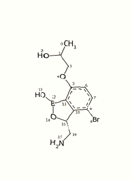 CC(O)COc1ccc(Br)c2c1B(O)OC2CN